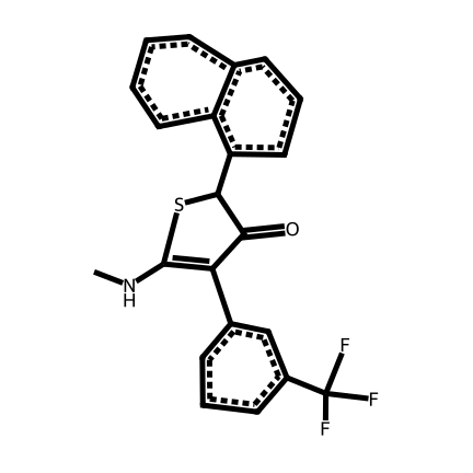 CNC1=C(c2cccc(C(F)(F)F)c2)C(=O)C(c2cccc3ccccc23)S1